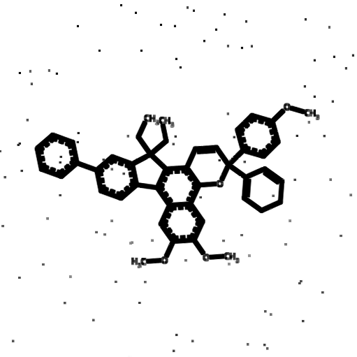 CCC1(CC)c2cc(-c3ccccc3)ccc2-c2c1c1c(c3cc(OC)c(OC)cc23)OC(C2=CCCC=C2)(c2ccc(OC)cc2)C=C1